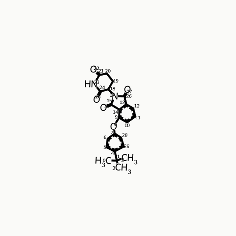 CC(C)(C)c1ccc(Oc2cccc3c2C(=O)N(C2CCC(=O)NC2=O)C3=O)cc1